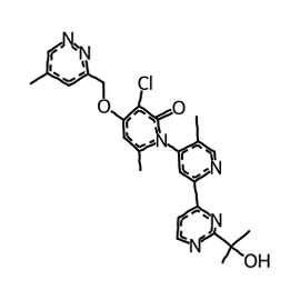 Cc1cnnc(COc2cc(C)n(-c3cc(-c4ccnc(C(C)(C)O)n4)ncc3C)c(=O)c2Cl)c1